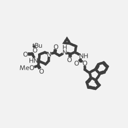 COC(=O)C1(NC(=O)OC(C)(C)C)CCN(C(=O)CNC(=O)C(CC2CC2)NC(=O)OCC2c3ccccc3-c3ccccc32)CC1